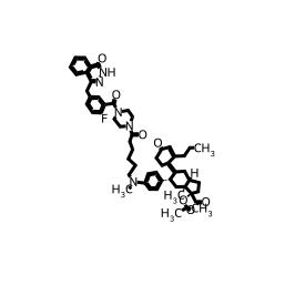 CCCC1=CC(=O)CC/C1=C1/C[C@@H]2CC[C@](OC(C)=O)(C(C)=O)[C@@]2(C)C[C@@H]1c1ccc(N(C)CCCCCC(=O)N2CCN(C(=O)c3cc(Cc4n[nH]c(=O)c5ccccc45)ccc3F)CC2)cc1